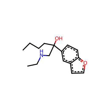 CCCCC(O)(CNCC)c1ccc2occc2c1